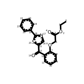 CCOC(=O)COc1ccccc1C(=O)c1cnc(-c2ccccc2)s1